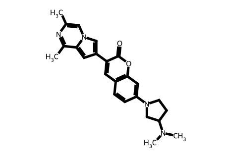 Cc1cn2cc(-c3cc4ccc(N5CCC(N(C)C)C5)cc4oc3=O)cc2c(C)n1